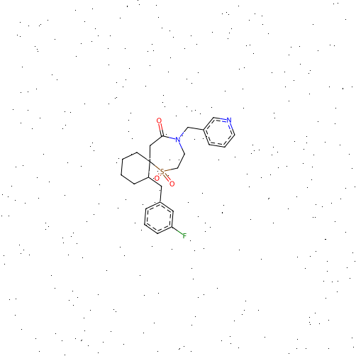 O=C1CC2(CCCCC2Cc2cccc(F)c2)S(=O)(=O)CCN1Cc1cccnc1